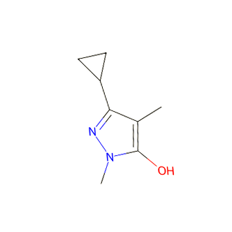 Cc1c(C2CC2)nn(C)c1O